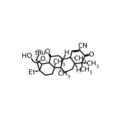 CC[C@@]12CC[C@]3(C)[C@](OC1CO)(C(=O)C[C@@H]1[C@@]4(C)C=C(C#N)C(=O)C(C)(C)[C@@H]4CC[C@]13C)C2CC(C)(C)C